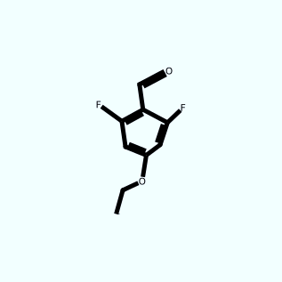 [CH2]COc1cc(F)c(C=O)c(F)c1